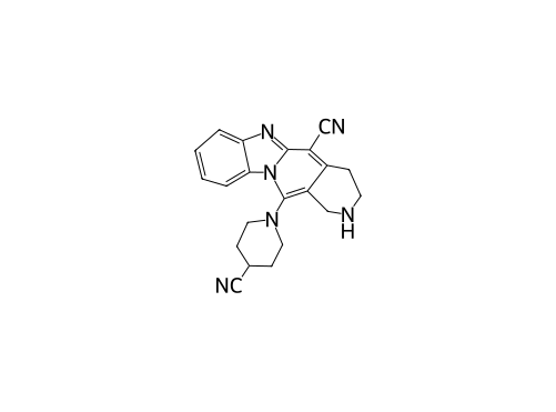 N#Cc1c2c(c(N3CCC(C#N)CC3)n3c1nc1ccccc13)CNCC2